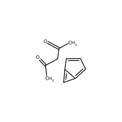 CC(=O)CC(C)=O.c1cc2cc-2c1